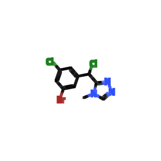 Cn1cnnc1C(Cl)c1cc(Cl)cc(Br)c1